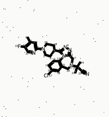 Cc1cc(N2CCC(c3nnc4n3-c3ccc(Cl)cc3CN(C(C)(C)C#N)C4)CC2)ncc1F